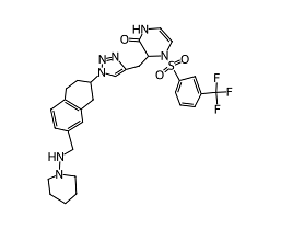 O=C1NC=CN(S(=O)(=O)c2cccc(C(F)(F)F)c2)C1Cc1cn(C2CCc3ccc(CNN4CCCCC4)cc3C2)nn1